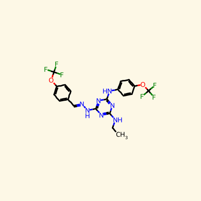 CCNc1nc(N/N=C/c2ccc(OC(F)(F)F)cc2)nc(Nc2ccc(OC(F)(F)F)cc2)n1